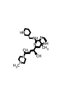 C#C/C(=C\C=C(/C)N1CCN(C)CC1)C1=CC2(C)NC=CN=C2C(NC[C@@H]2CCCNC2)=N1